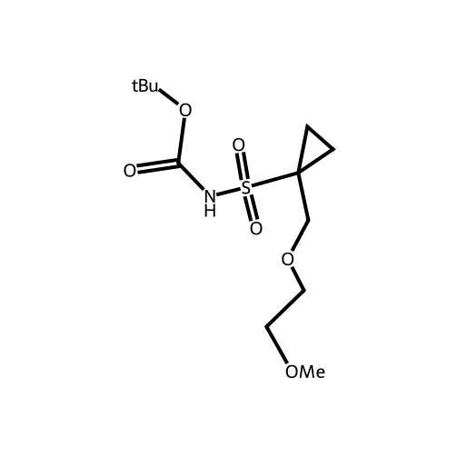 COCCOCC1(S(=O)(=O)NC(=O)OC(C)(C)C)CC1